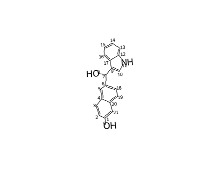 Oc1ccc2cc(C(O)c3c[nH]c4ccccc34)ccc2c1